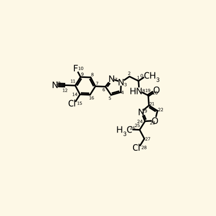 CC(Cn1ccc(-c2cc(F)c(C#N)c(Cl)c2)n1)NC(=O)c1coc(C(C)CCl)n1